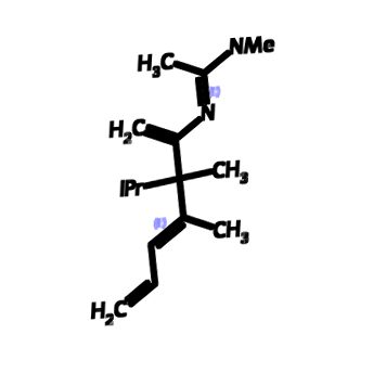 C=C/C=C(\C)C(C)(C(=C)/N=C(\C)NC)C(C)C